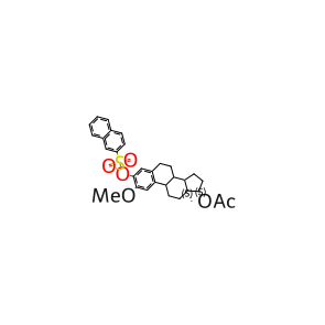 COc1cc2c(cc1OS(=O)(=O)c1ccc3ccccc3c1)CCC1C2CC[C@@]2(C)C1CC[C@@H]2OC(C)=O